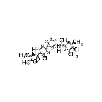 Cc1cc(C(C)Nc2cccc(-c3ccc(C(=O)N[C@@H](C)C(=O)O)c(Cl)c3)c2)cc(C)c1Cl